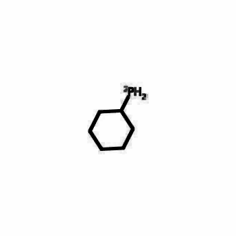 [2PH2]C1CCCCC1